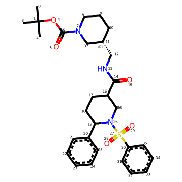 CC(C)(C)OC(=O)N1CCC[C@H](CNC(=O)C2CCC(c3ccccc3)N(S(=O)(=O)c3ccccc3)C2)C1